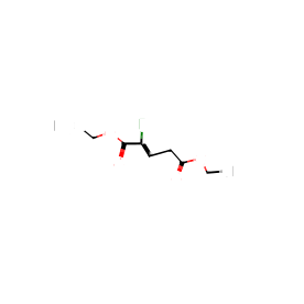 CCOC(=O)CC=C(F)C(=O)OCC